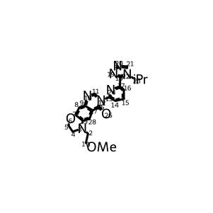 COCCN1CCOc2cc3ncn(-c4cccc(-c5nncn5C(C)C)n4)c(=O)c3cc21